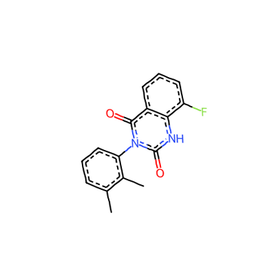 Cc1cccc(-n2c(=O)[nH]c3c(F)cccc3c2=O)c1C